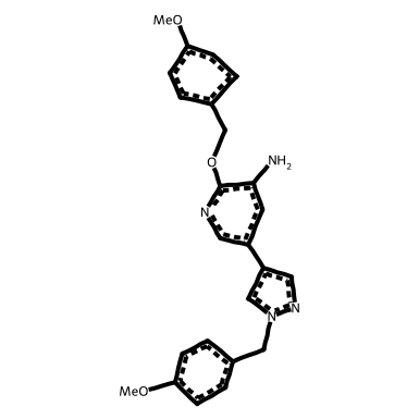 COc1ccc(COc2ncc(-c3cnn(Cc4ccc(OC)cc4)c3)cc2N)cc1